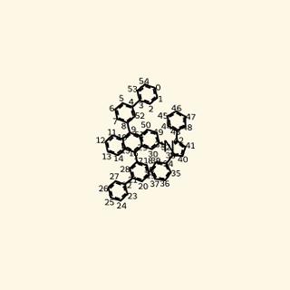 c1ccc(-c2cccc(-c3c4ccccc4c(-c4cccc(-c5ccccc5)c4)c4cc(-n5c(-c6ccccc6)ccc5-c5ccccc5)ccc34)c2)cc1